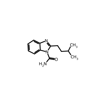 CC(C)CCc1nc2ccccc2n1C(N)=O